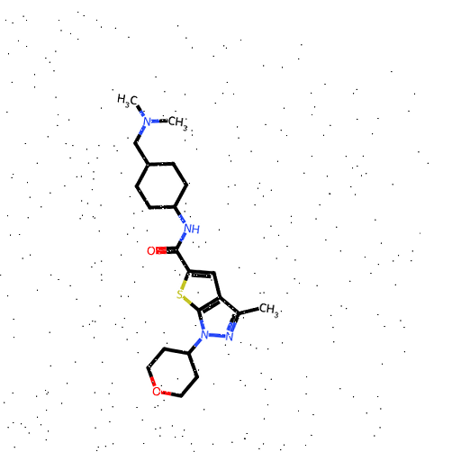 Cc1nn(C2CCOCC2)c2sc(C(=O)NC3CCC(CN(C)C)CC3)cc12